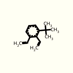 C=[C]c1cccc(C(C)(C)C)c1C=C